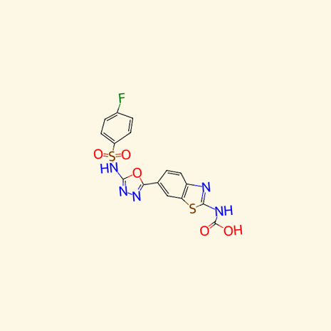 O=C(O)Nc1nc2ccc(-c3nnc(NS(=O)(=O)c4ccc(F)cc4)o3)cc2s1